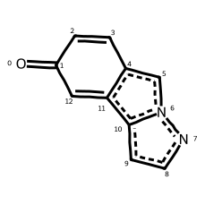 O=C1C=Cc2cn3nccc3c2=C1